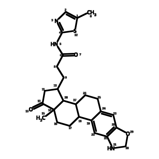 Cc1cnc(NC(=O)CCC2CC(=O)C3(C)CCC4c5cc6c(cc5CCC4C23)OCN6)s1